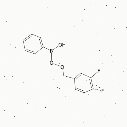 OB(OOCc1ccc(F)c(F)c1)c1ccccc1